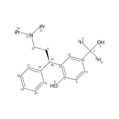 [2H]C([2H])(O)c1ccc(O)c([C@H](CCN(C(C)C)C(C)C)c2ccccc2)c1